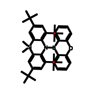 CC(C)(C)c1cc(C(C)(C)C)c2c(c1)[Si](C)(C)c1cc(C(C)(C)C)cc(C(C)(C)C)c1N2B1c2ccccc2Oc2ccccc21